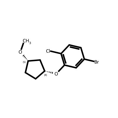 CO[C@H]1CC[C@@H](Oc2cc(Br)ccc2Cl)C1